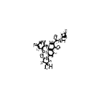 O=C(NC12CC(F)(C1)C2)c1cn(-c2ncc(F)cc2F)c2nc(N3C[C@@H](O)CC3=O)ccc2c1=O